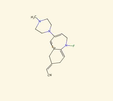 CN1CCN(C2=CCN(F)C3=CCC(=CC#N)CC34CSC=C24)CC1